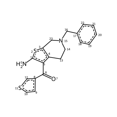 Nc1sc2c(c1C(=O)c1ccsc1)CCN(Cc1ccccc1)C2